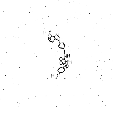 Cc1ccc(S(=O)(=O)NC(=O)NCCc2ccc(-n3cnc4c(C)nccc43)cc2)cc1